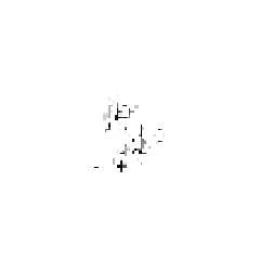 CC(=O)N(C1(C)COC1)S(=O)(=O)c1cc2c(cc1F)n(C(C)=O)c(=O)n2-c1nnc(C(F)F)s1